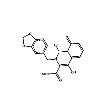 COC(=O)C1=C(O)C2=CC=CC(=O)C2[S+]([O-])N1Cc1ccc2c(c1)OCO2